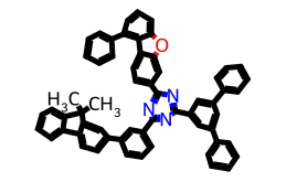 CC1(C)c2ccccc2-c2ccc(-c3cccc(-c4nc(-c5cc(-c6ccccc6)cc(-c6ccccc6)c5)nc(-c5ccc6c(c5)oc5cccc(-c7ccccc7)c56)n4)c3)cc21